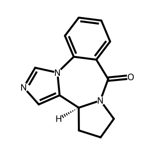 O=C1c2ccccc2-n2cncc2[C@@H]2CCCN12